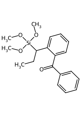 CCC(c1ccccc1C(=O)c1ccccc1)[Si](OC)(OC)OC